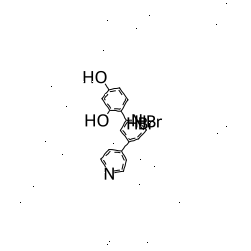 Br.Br.Oc1ccc(-c2cc(-c3ccncc3)ccn2)c(O)c1